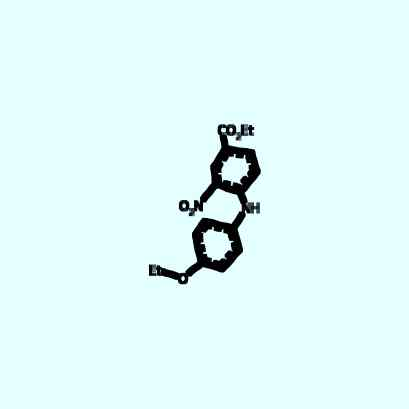 CCOC(=O)c1ccc(Nc2ccc(OCC)cc2)c([N+](=O)[O-])c1